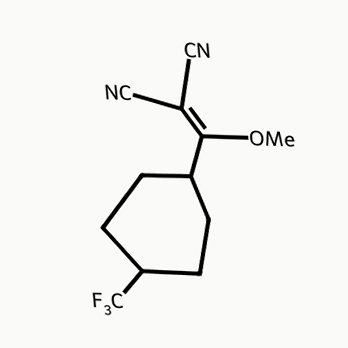 COC(=C(C#N)C#N)C1CCC(C(F)(F)F)CC1